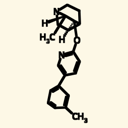 Cc1cccc(-c2ccc(O[C@@H]3C4CCN(CC4)[C@H]3C)nc2)c1